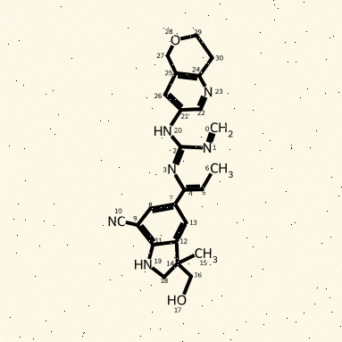 C=N/C(=N\C(=C/C)c1cc(C#N)c2c(c1)C(C)(CO)CN2)Nc1cnc2c(c1)COCC2